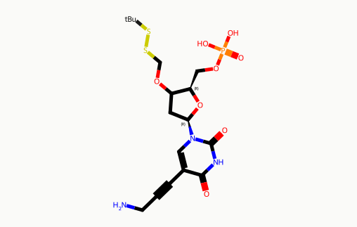 CC(C)(C)SSCOC1C[C@H](n2cc(C#CCN)c(=O)[nH]c2=O)O[C@@H]1COP(=O)(O)O